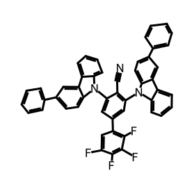 N#Cc1c(-n2c3ccccc3c3cc(-c4ccccc4)ccc32)cc(-c2cc(F)c(F)c(F)c2F)cc1-n1c2ccccc2c2cc(-c3ccccc3)ccc21